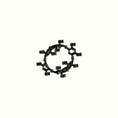 OC1=CC2CC3=C(O)C=C(O)C(C3)CC3=C(O)C4=CC5=C(O)C=C(CC6=C(O)C=C(O)C(C6)CC6CC(O)C7CC(C1=CC7=C6O)C2O)C(O)C5CC4C(O)C3